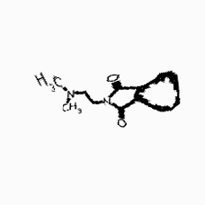 CN(C)CCN1C(=O)c2ccccc2C1=O